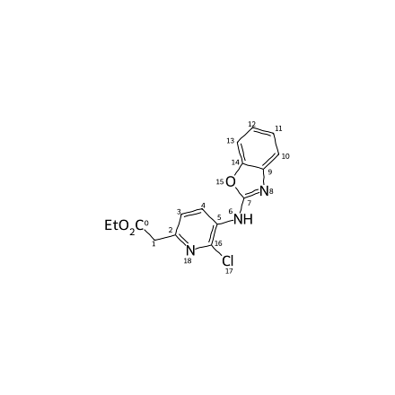 CCOC(=O)Cc1ccc(Nc2nc3ccccc3o2)c(Cl)n1